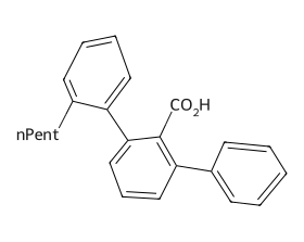 CCCCCc1ccccc1-c1cccc(-c2ccccc2)c1C(=O)O